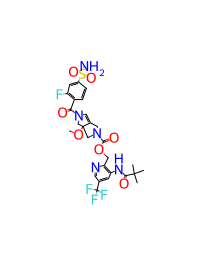 COC12CN(C(=O)c3ccc(S(N)(=O)=O)cc3F)C=C1CN(C(=O)OCc1ncc(C(F)(F)F)cc1NC(=O)C(C)(C)C)C2